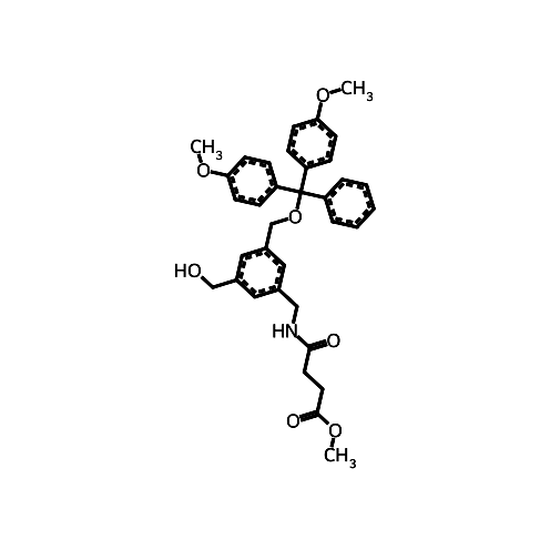 COC(=O)CCC(=O)NCc1cc(CO)cc(COC(c2ccccc2)(c2ccc(OC)cc2)c2ccc(OC)cc2)c1